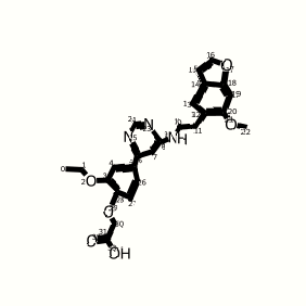 CCOc1cc(-c2cc(NCCc3cc4ccoc4cc3OC)ncn2)ccc1OCC(=O)O